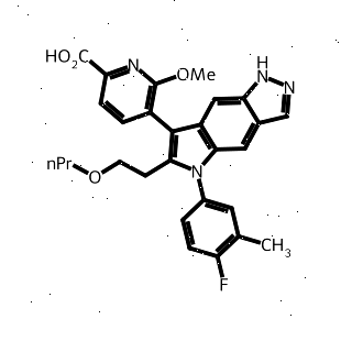 CCCOCCc1c(-c2ccc(C(=O)O)nc2OC)c2cc3[nH]ncc3cc2n1-c1ccc(F)c(C)c1